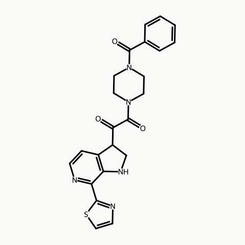 O=C(C(=O)N1CCN(C(=O)c2ccccc2)CC1)C1CNc2c1ccnc2-c1nccs1